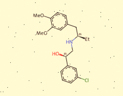 CC[C@H](Cc1ccc(OC)c(OC)c1)NC[C@H](O)c1cccc(Cl)c1